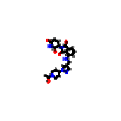 CC(=O)N1CCC(n2cc(CNc3cccc4c3C(=O)N(C3CCC(=O)NC3=O)C4=O)cn2)CC1